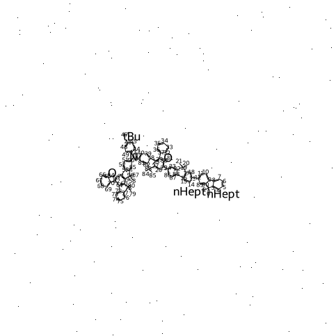 CCCCCCCC1(CCCCCCC)c2ccccc2-c2ccc(-c3ccc4c(c3)C(C)(C)c3cc(-c5cc6c(c7c5oc5ccccc57)-c5ccc(N(c7ccc(C(C)(C)C)cc7)c7ccc8c(c7)C(C)(C)c7c9c(c%10c(oc%11ccccc%11%10)c7-8)-c7ccccc7C9(C)C)cc5C6(C)C)ccc3-4)cc21